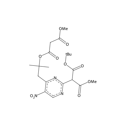 COC(=O)CC(=O)OC(C)(C)Cc1nc(C(C(=O)OC)C(=O)OC(C)(C)C)ncc1[N+](=O)[O-]